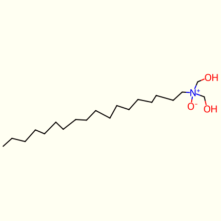 CCCCCCCCCCCCCCCCCC[N+]([O-])(CO)CO